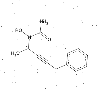 CC(C#CCc1ccccc1)N(O)C(N)=O